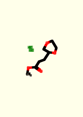 COC(=O)CCC1COCCO1.Cl.Cl